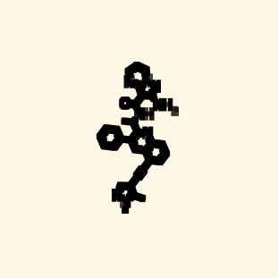 Cc1c(C#Cc2cccc3nc(C(C)NC(=O)c4c(N)nn5cccnc45)c(-c4ccccc4)cc23)cnn1C